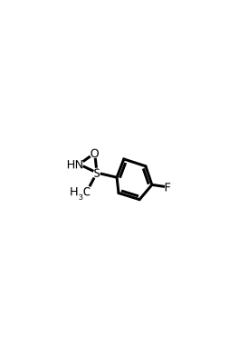 CS1(c2ccc(F)cc2)NO1